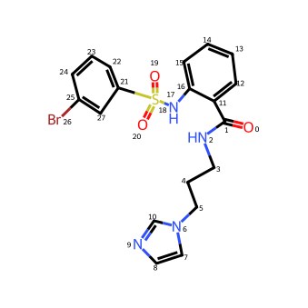 O=C(NCCCn1ccnc1)c1ccccc1NS(=O)(=O)c1cccc(Br)c1